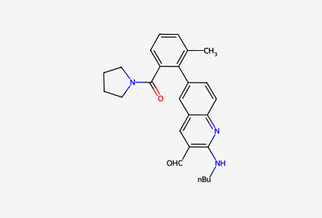 CCCCNc1nc2ccc(-c3c(C)cccc3C(=O)N3CCCC3)cc2cc1C=O